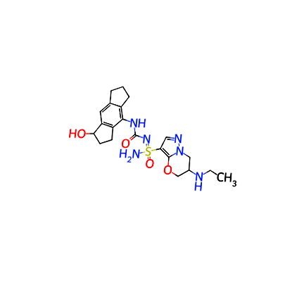 CCNC1COc2c(S(N)(=O)=NC(=O)Nc3c4c(cc5c3CCC5O)CCC4)cnn2C1